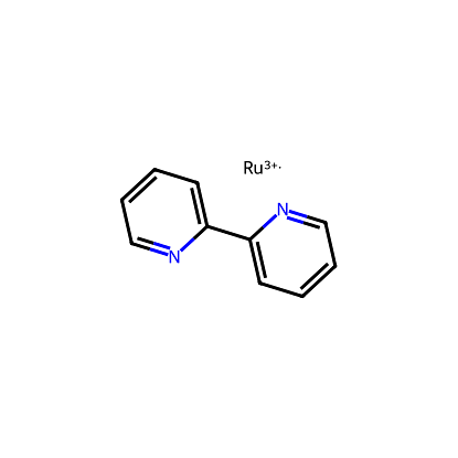 [Ru+3].c1ccc(-c2ccccn2)nc1